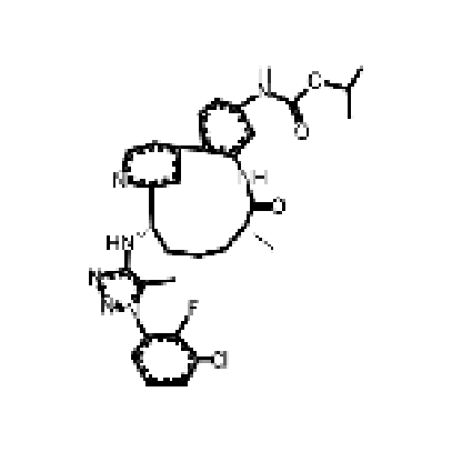 Cc1c(N[C@H]2CCC[C@@H](C)C(=O)Nc3cc(NC(=O)OC(C)C)ccc3-c3ccnc2c3)nnn1-c1cccc(Cl)c1F